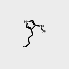 ONc1c[nH]cc1CCCCl